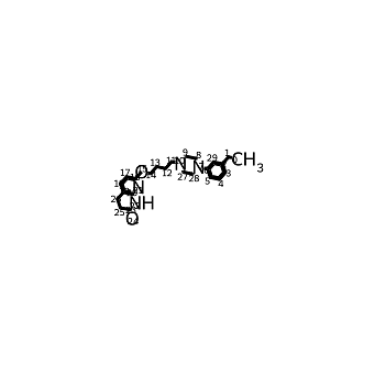 CCc1cccc(N2CCN(CCCCOc3ccc4c(n3)NC(=O)CC4)CC2)c1